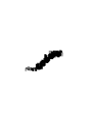 CCCCCC1COC(C2CCC(c3ccc(-c4cc(F)c(C(F)(F)Oc5ccc(F)c(F)c5)c(F)c4)c(F)c3)CC2)OC1